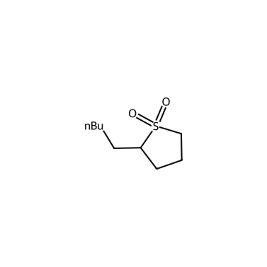 CCCCCC1CCCS1(=O)=O